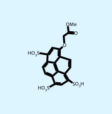 COC(=O)COc1cc(S(=O)(=O)O)c2ccc3c(S(=O)(=O)O)cc(S(=O)(=O)O)c4ccc1c2c43